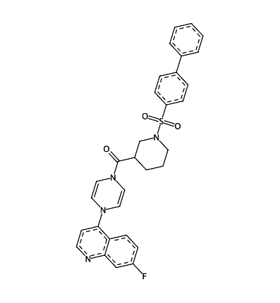 O=C(C1CCCN(S(=O)(=O)c2ccc(-c3ccccc3)cc2)C1)N1C=CN(c2ccnc3cc(F)ccc23)C=C1